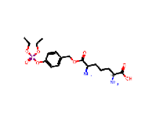 CCOP(=O)(OCC)Oc1ccc(COC(=O)C(N)CCC[C@H](N)C(=O)O)cc1